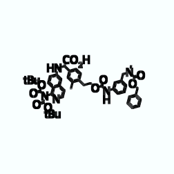 Cc1cc(C(Nc2ccc3c(N(C(=O)OC(C)(C)C)C(=O)OC(C)(C)C)nccc3c2)C(=O)O)ccc1CCOC(=O)Nc1cccc(CN(C)C(=O)OCc2ccccc2)c1